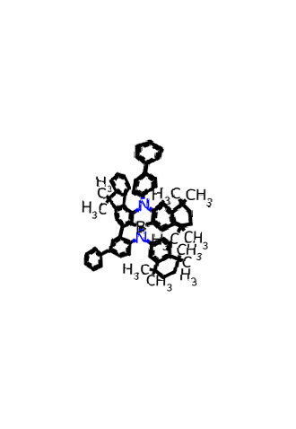 CC1(C)CCC(C)(C)c2cc(N3B4c5cc6c(cc5N(c5ccc(-c7ccccc7)cc5)c5c4c(cc4c5-c5ccccc5C4(C)C)-c4cc(-c5ccccc5)ccc43)C(C)(C)CCC6(C)C)ccc21